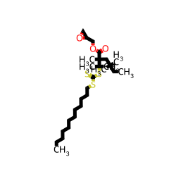 CCCCCCCCCCCCSC(=S)SC(C)(C)C(C)(CC(C)(C)CC)C(=O)OCC1CO1